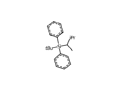 CC(C)C(C)[Si](c1ccccc1)(c1ccccc1)C(C)(C)C